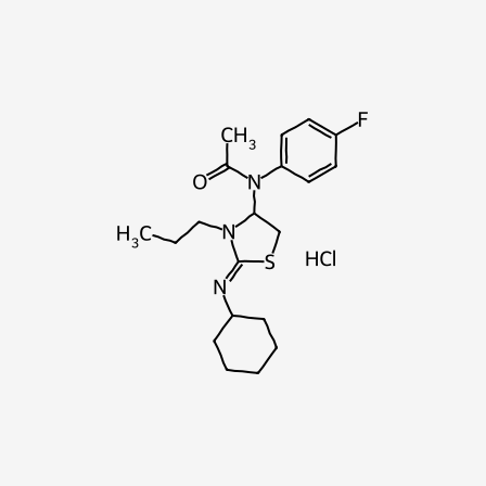 CCCN1C(=NC2CCCCC2)SCC1N(C(C)=O)c1ccc(F)cc1.Cl